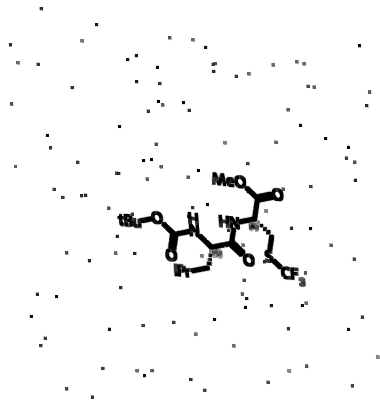 COC(=O)[C@H](CSC(F)(F)F)NC(=O)[C@H](CC(C)C)NC(=O)OC(C)(C)C